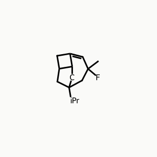 CC(C)C12CC3CC(=CC(C)(F)C1)C3C2